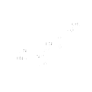 COCCOC(=O)Nc1ccc2c(c1)N(Cc1c[nH]cn1)CCO2